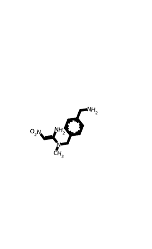 CN(Cc1ccc(CN)cc1)C(N)=C[N+](=O)[O-]